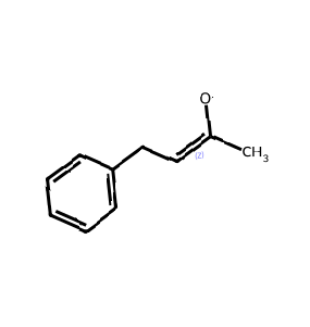 C/C([O])=C/Cc1ccccc1